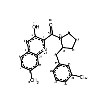 Cc1ccc2nc(O)c(C(=O)N3CCCC3Cc3cccc(Cl)c3)nc2c1